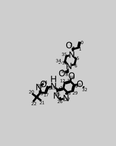 C=CC(=O)N1CCN(C(=O)Oc2cc3c(Nc4cc(C(C)(C)C)no4)ncnc3cc2OC)[C@H](C)C1